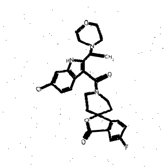 C=C(c1[nH]c2cc(Cl)ccc2c1C(=O)N1CCC2(CC1)OC(=O)c1cc(F)ccc12)N1CCOCC1